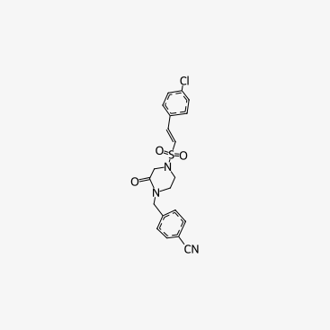 N#Cc1ccc(CN2CCN(S(=O)(=O)/C=C/c3ccc(Cl)cc3)CC2=O)cc1